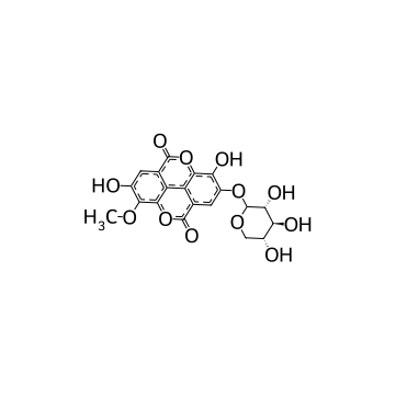 COc1c(O)cc2c(=O)oc3c(O)c(OC4OC[C@@H](O)[C@H](O)[C@H]4O)cc4c(=O)oc1c2c34